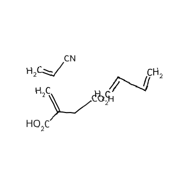 C=C(CC(=O)O)C(=O)O.C=CC#N.C=CC=C